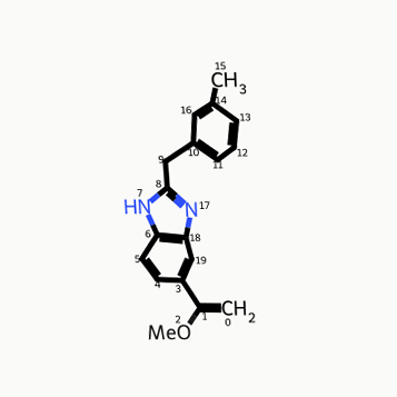 C=C(OC)c1ccc2[nH]c(Cc3cccc(C)c3)nc2c1